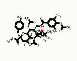 COC(=O)[C@@]1(Sc2ccc(C)cc2)C[C@@H]2OC(=O)N(C(=O)OC(C)(C)C)[C@H]2[C@H]([C@H](OC(C)=O)[C@@H](CNC(=O)c2cc(C)c(OC(C)=O)c(C)c2)OC(C)=O)O1